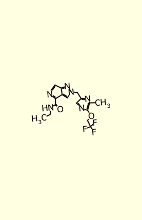 CCNC(=O)c1nccc2nn(Cc3cnc(OCC(F)(F)F)c(C)n3)cc12